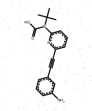 CC(C)(C)N(C(=O)O)c1cccc(C#Cc2cccc(N)c2)n1